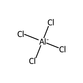 [Cl][Al-]([Cl])([Cl])[Cl]